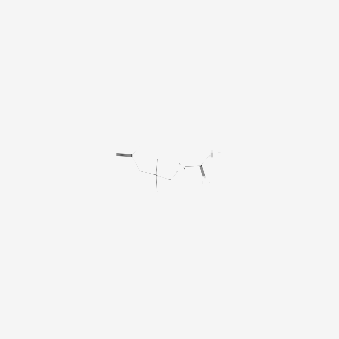 C=C(C)CC(C)(C)CNC(=O)C(C)C